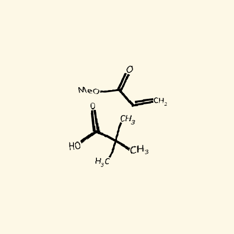 C=CC(=O)OC.CC(C)(C)C(=O)O